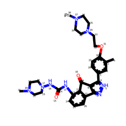 Cc1cc(-c2[nH]nc3c2C(=O)c2c(NC(=O)NN4CCN(C)CC4)cccc2-3)ccc1OCCN1CCN(C(C)C)CC1